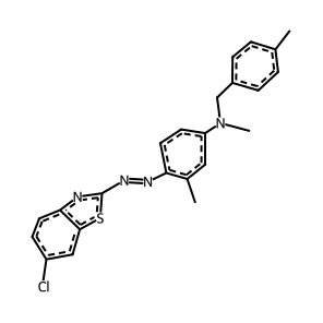 Cc1ccc(CN(C)c2ccc(N=Nc3nc4ccc(Cl)cc4s3)c(C)c2)cc1